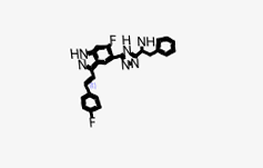 NC(Cc1ccccc1)c1nnc(-c2cc3c(/C=C/c4ccc(F)cc4)n[nH]c3cc2F)[nH]1